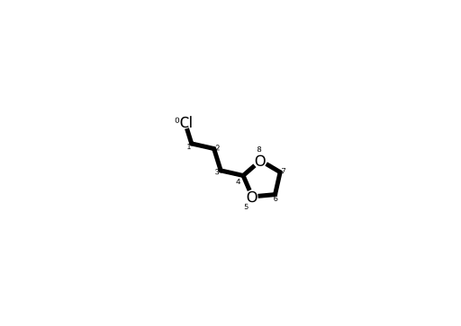 ClCCCC1OCCO1